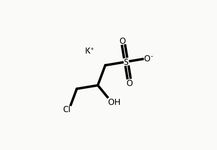 O=S(=O)([O-])CC(O)CCl.[K+]